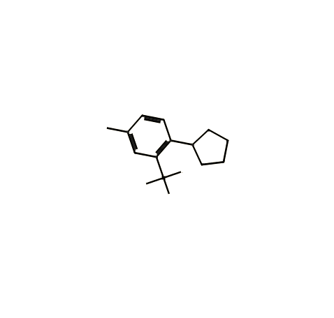 Cc1ccc(C2CCCC2)c(C(F)(F)F)c1